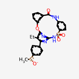 CCc1c2nc(nc1-c1ccc([S+](C)[O-])cc1)NS(=O)(=O)c1cccc(c1)NC(=O)c1cccc(c1)O2